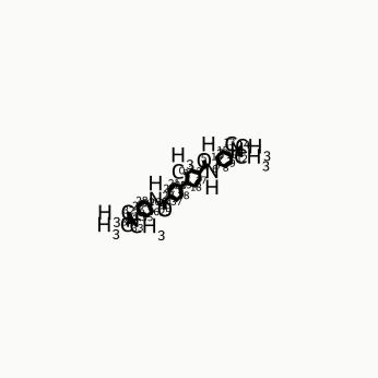 Cc1cc(C(=O)Nc2ccc([N+](C)(C)C)cc2)ccc1-c1ccc(C(=O)Nc2ccc([N+](C)(C)C)cc2)cc1